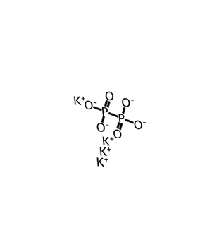 O=P([O-])([O-])P(=O)([O-])[O-].[K+].[K+].[K+].[K+]